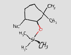 CC1(C)CCC(C#N)C1O[Si](C)(C)C